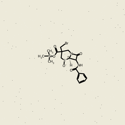 C[Si](C)(C)OC(=O)C1(CBr)CN2C(=O)C(NC(=O)c3ccccc3)[C@H]2[S+]([O-])C1